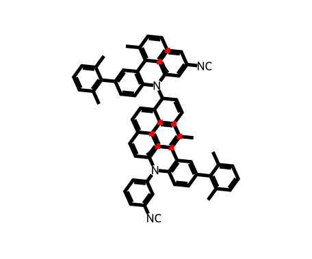 [C-]#[N+]c1cccc(N(C2=C3C=CC4=C5C(=CC=C(C=C2)C35)C(N(c2cccc([N+]#[C-])c2)c2ccc(-c3c(C)cccc3C)cc2-c2c(C)cccc2C)C=C4)c2ccc(-c3c(C)cccc3C)cc2-c2c(C)cccc2C)c1